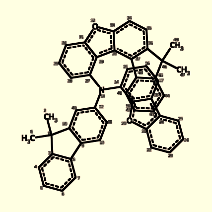 CC1(C)c2ccccc2-c2ccc(N(c3cccc4c3oc3ccccc34)c3cccc4oc5ccc6c(c5c34)-c3ccccc3C6(C)C)cc21